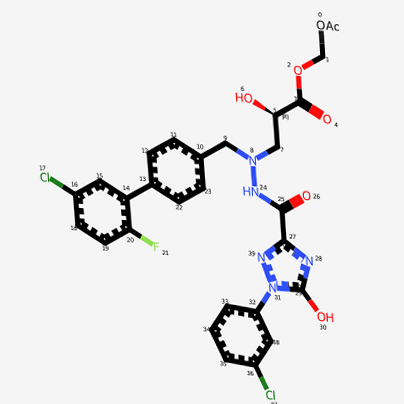 CC(=O)OCOC(=O)[C@H](O)CN(Cc1ccc(-c2cc(Cl)ccc2F)cc1)NC(=O)c1nc(O)n(-c2cccc(Cl)c2)n1